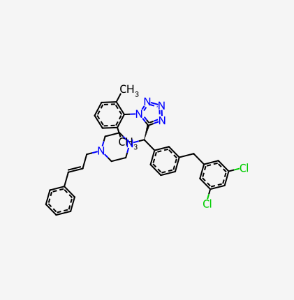 Cc1cccc(C)c1-n1nnnc1[C@@H](c1cccc(Cc2cc(Cl)cc(Cl)c2)c1)N1CCN(C/C=C/c2ccccc2)CC1